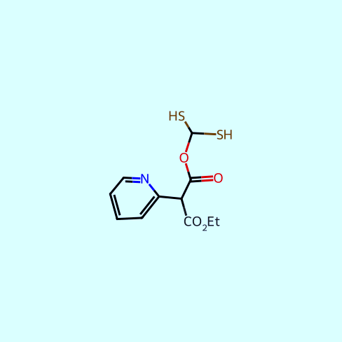 CCOC(=O)C(C(=O)OC(S)S)c1ccccn1